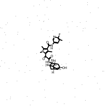 Cc1cc(NC(=O)c2c(C)c(C(=O)C(=O)N[C@@H]3[C@@H]4C[C@@H]5C[C@H]3C[C@@](O)(C5)C4)n(C)c2C)cnc1F